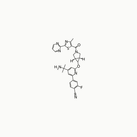 Cc1nc(-c2ncccn2)sc1C(=O)N1C[C@@H]2C(Oc3cc(C(C)(C)N)cc(-c4ccc(C#N)c(F)c4)n3)[C@@H]2C1